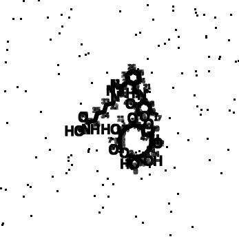 CC[C@H]1OC(=O)[C@H](C)[C@@H](O)[C@H](C)[C@@H](O[C@@H]2O[C@H](C)C[C@H](N(C)Cc3ccccc3-c3cn(CCCCCC(=O)NO)nn3)[C@H]2O)[C@@]2(C)C[C@@H](CO2)C(=O)[C@H](C)[C@@H](O)[C@]1(C)O